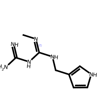 C/N=C(/NCc1cc[nH]c1)NC(=N)N